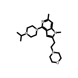 Cc1cc2c(cc(CCN3CCOCC3)n2C)c(N2CCN(C(C)C)CC2)n1